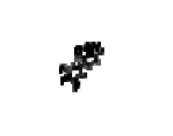 NN1CCCC(c2cc(F)c(F)c(F)c2)C1C=O